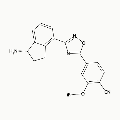 CC(C)Oc1cc(-c2nc(-c3cccc4c3CC[C@@H]4N)no2)ccc1C#N